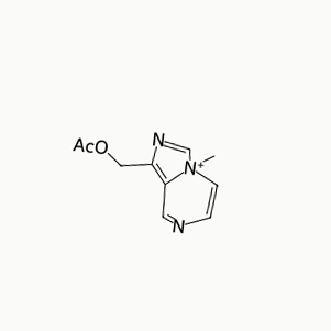 CC(=O)OCC1=C2C=NC=C[N+]2(C)C=N1